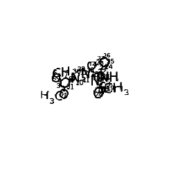 COc1cc(OC)cc(N2CCN(C(=O)c3nc([S+](C)[O-])[nH]c3-c3ccccc3)CC2)c1